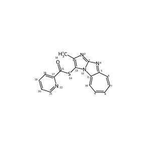 Cc1nc2nc3cccccc3n2c1SC(=O)c1ccccn1